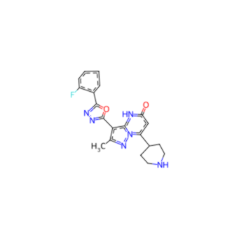 Cc1nn2c(C3CCNCC3)cc(=O)[nH]c2c1-c1nnc(-c2ccccc2F)o1